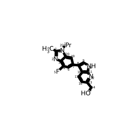 Cc1nc2c(F)cc(-c3c[nH]c4nc(CO)ccc34)cc2n1C(C)C